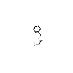 CC(C)[C@@H](C(=O)NCc1ccccc1)N(C(=O)O)C(C)(C)C